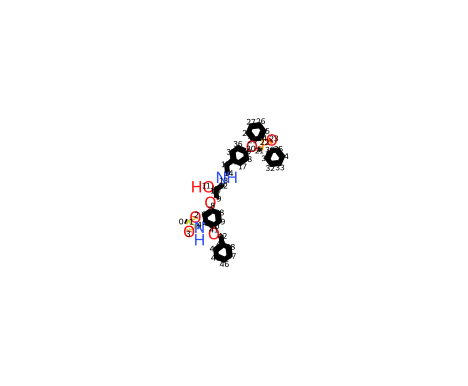 CS(=O)(=O)Nc1cc(OC[C@@H](O)CNCCc2ccc(OCP(=O)(c3ccccc3)c3ccccc3)cc2)ccc1OCc1ccccc1